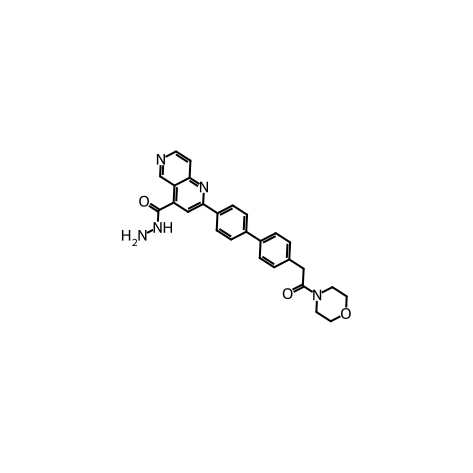 NNC(=O)c1cc(-c2ccc(-c3ccc(CC(=O)N4CCOCC4)cc3)cc2)nc2ccncc12